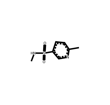 CNS(=O)(=O)c1ccc(C)nc1